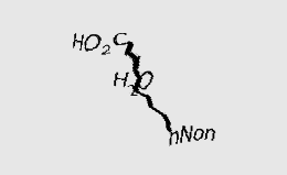 CCCCCCCCCC=CC=CC=CC=CC=CC(=O)O.O